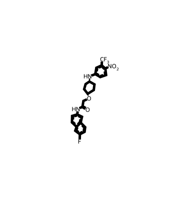 O=C(CO[C@H]1CC[C@H](Nc2ccc([N+](=O)[O-])c(C(F)(F)F)c2)CC1)Nc1ccc2cc(F)ccc2c1